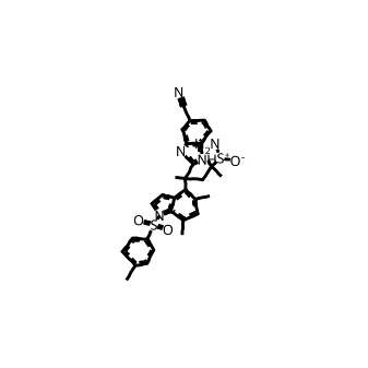 Cc1ccc(S(=O)(=O)n2ccc3c(C(C)(CC(C)(C)[S+](N)[O-])c4nc5cc(C#N)ccc5[nH]4)c(C)cc(C)c32)cc1